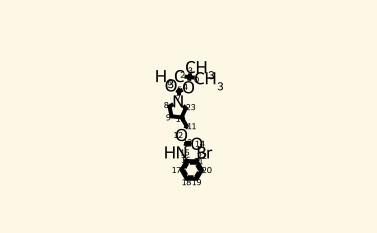 CC(C)(C)OC(=O)N1CCC(COC(=O)Nc2ccccc2Br)C1